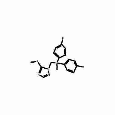 CSc1ncnn1C[Si](C)(c1ccc(F)cc1)c1ccc(F)cc1